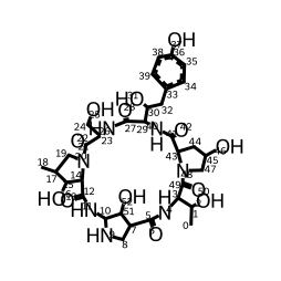 CC(O)C1NC(=O)C2CNC(NC(=O)C3C(O)C(C)CN3C(=O)C(CO)NC(=O)C(C(O)Cc3ccc(O)cc3)NC(=O)C3CC(O)CN3C1=O)C2O